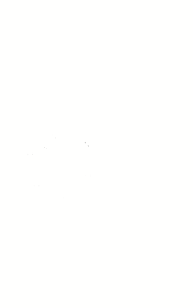 CCc1ccc2oc(C(C(O)=S)C(O)=S)nc2c1CC